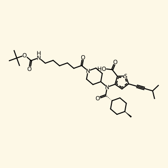 CC(C)C#Cc1cc(N(C(=O)[C@H]2CC[C@H](C)CC2)C2CCN(C(=O)CCCCCNC(=O)OC(C)(C)C)CC2)c(C(=O)O)s1